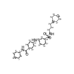 O=C(Nc1ccncc1)c1ccc(Nc2cccc(S(=O)(=O)NCCCN3CCOCC3)c2)cc1